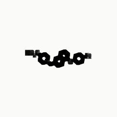 CC[C@H]1CC[C@H](Oc2cccc3cc(CN4CCC(C(=O)O)CC4)ccc23)CC1